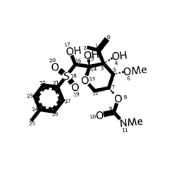 C=C(C)[C@@]1(O)[C@H](OC)[C@H](OC(=O)NC)CO[C@]1(O)C(O)S(=O)(=O)c1ccc(C)cc1